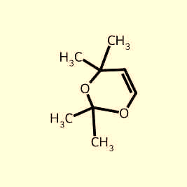 CC1(C)C=COC(C)(C)O1